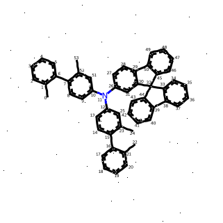 Cc1ccccc1-c1ccc(N(c2ccc(-c3ccccc3C)c(C)c2)c2ccc3c(c2)C2(c4ccccc4-c4ccccc42)c2ccccc2-3)cc1C